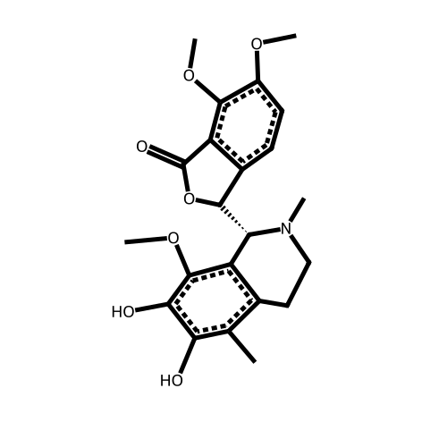 COc1ccc2c(c1OC)C(=O)OC2[C@H]1c2c(c(C)c(O)c(O)c2OC)CCN1C